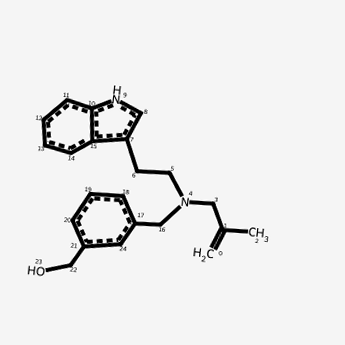 C=C(C)CN(CCc1c[nH]c2ccccc12)Cc1cccc(CO)c1